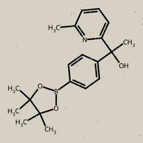 Cc1cccc(C(C)(O)c2ccc(B3OC(C)(C)C(C)(C)O3)cc2)n1